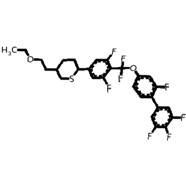 CCOCCC1CCC(c2cc(F)c(C(F)(F)Oc3ccc(-c4cc(F)c(F)c(F)c4)c(F)c3)c(F)c2)SC1